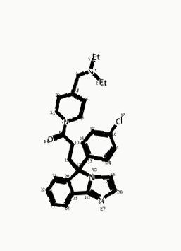 CCN(CC)CC1CCN(C(=O)CCC2(c3ccc(Cl)cc3)c3ccccc3-c3nccn32)CC1